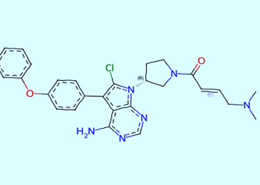 CN(C)C/C=C/C(=O)N1CC[C@@H](n2c(Cl)c(-c3ccc(Oc4ccccc4)cc3)c3c(N)ncnc32)C1